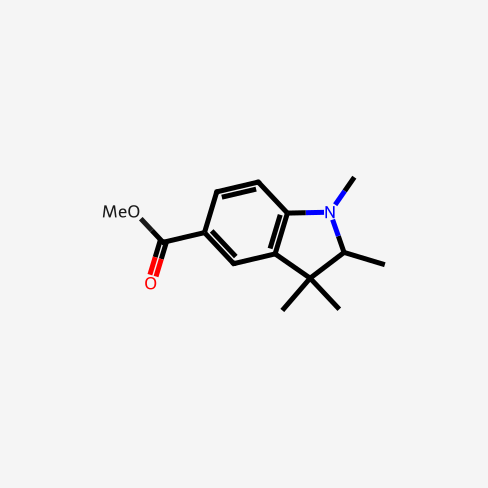 COC(=O)c1ccc2c(c1)C(C)(C)C(C)N2C